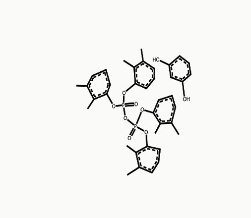 Cc1cccc(OP(=O)(Oc2cccc(C)c2C)OP(=O)(Oc2cccc(C)c2C)Oc2cccc(C)c2C)c1C.Oc1cccc(O)c1